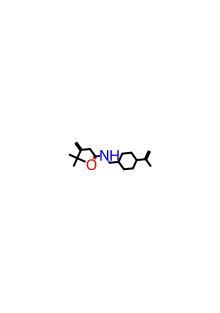 C=C(C)C1CCC(CNC(=O)CC(=C)C(C)(C)C)CC1